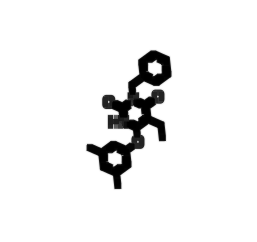 CCc1c(Oc2cc(C)cc(C)c2)[nH]c(=O)n(Cc2ccccc2)c1=O